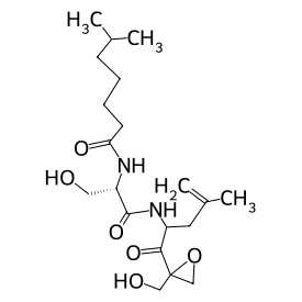 C=C(C)CC(NC(=O)[C@H](CO)NC(=O)CCCCC(C)C)C(=O)C1(CO)CO1